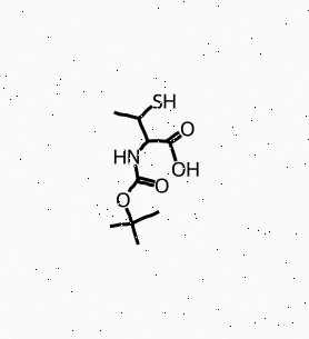 CC(S)C(NC(=O)OC(C)(C)C)C(=O)O